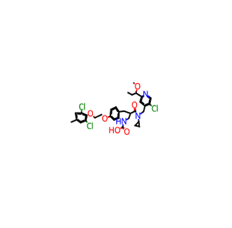 CCC(OC)c1cc(CN(C(=O)C(CNC(=O)O)Cc2ccc(OCCOc3c(Cl)cc(C)cc3Cl)cc2)C2CC2)c(Cl)cn1